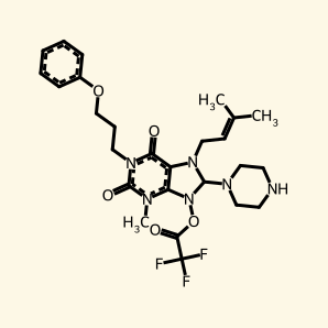 CC(C)=CCN1c2c(n(C)c(=O)n(CCCOc3ccccc3)c2=O)N(OC(=O)C(F)(F)F)C1N1CCNCC1